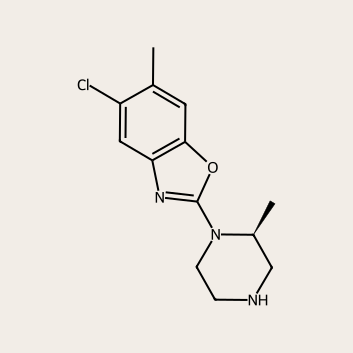 Cc1cc2oc(N3CCNC[C@@H]3C)nc2cc1Cl